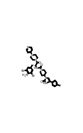 Nc1c(Br)cc(C[C@@H](NC(=O)N2CCC(n3cc(-c4ccc(F)cc4)[nH]c3=O)CC2)C(=O)N2CCN(c3ccncc3)CC2)cc1Br